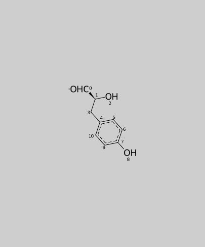 O=[C][C@@H](O)Cc1ccc(O)cc1